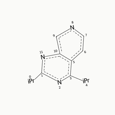 CC(C)c1nc(C(C)C)c2ccncc2n1